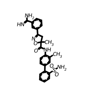 Cc1cc(-c2ccccc2S(N)(=O)=O)ccc1NC(=O)C1(C)CC(c2cccc(C(=N)N)c2)=NO1